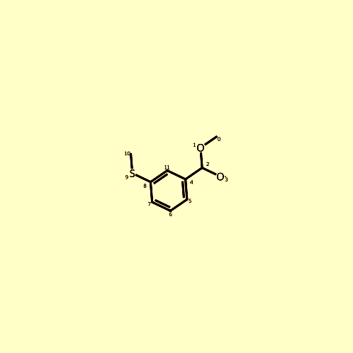 COC([O])c1cccc(SC)c1